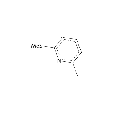 CSc1[c]ccc(C)n1